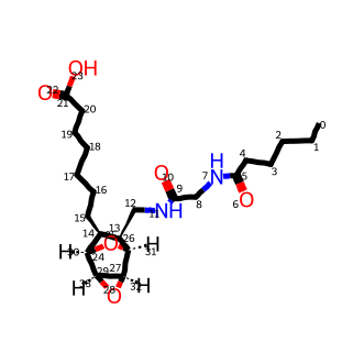 CCCCCC(=O)NCC(=O)NC[C@@H]1[C@H](CCCCCCC(=O)O)[C@H]2O[C@@H]1[C@H]1O[C@H]12